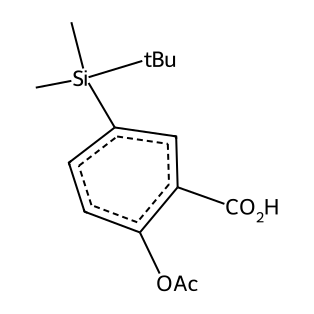 CC(=O)Oc1ccc([Si](C)(C)C(C)(C)C)cc1C(=O)O